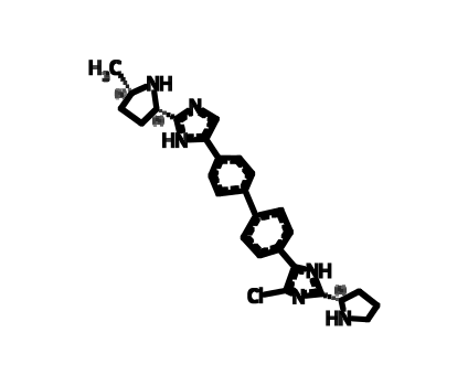 C[C@H]1CC[C@@H](c2ncc(-c3ccc(-c4ccc(-c5[nH]c([C@@H]6CCCN6)nc5Cl)cc4)cc3)[nH]2)N1